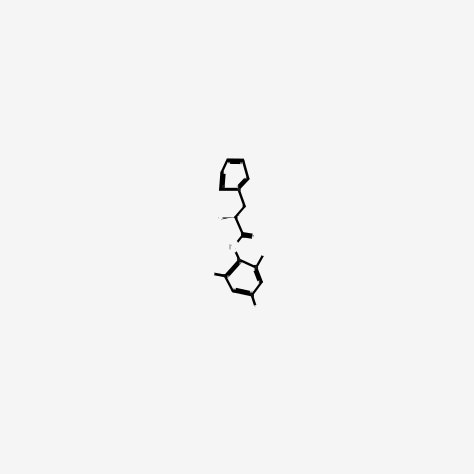 N[C@@H](Cc1ccccc1)C(=O)Nc1c(F)cc(F)cc1F